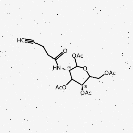 C#CCCC(=O)N[C@@H]1C(OC(C)=O)OC(COC(C)=O)[C@@H](OC(C)=O)C1OC(C)=O